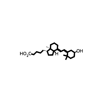 CC1(C)CC[C@H](O)C/C1=C/C=C1\CCC[C@]2(C)[C@@H](CCCCC(=O)O)CC[C@@H]12